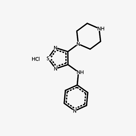 Cl.c1cc(Nc2nsnc2N2CCNCC2)ccn1